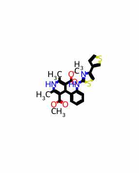 COC(=O)C1=C(C)NC(C)=C(C(=O)OC)C1c1ccccc1Nc1nc(-c2ccsc2)cs1